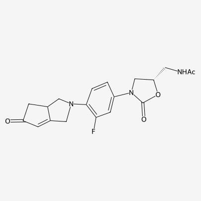 CC(=O)NC[C@H]1CN(c2ccc(N3CC4=CC(=O)CC4C3)c(F)c2)C(=O)O1